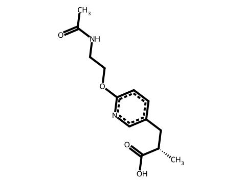 CC(=O)NCCOc1ccc(C[C@H](C)C(=O)O)cn1